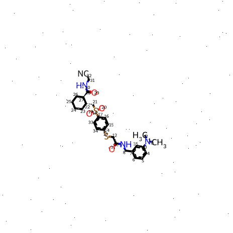 CN(C)c1cccc(CNC(=O)CSc2ccc(S(=O)(=O)C[C@@H]3CCCC[C@H]3C(=O)NCC#N)cc2)c1